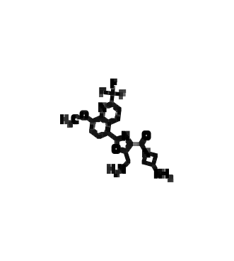 COc1ccc(-c2nc(C(=O)N3CC(N)C3)c(CN)o2)c2ccc(C(F)(F)F)nc12